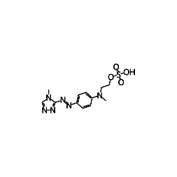 CN(CCOS(=O)(=O)O)c1ccc(N=Nc2nncn2C)cc1